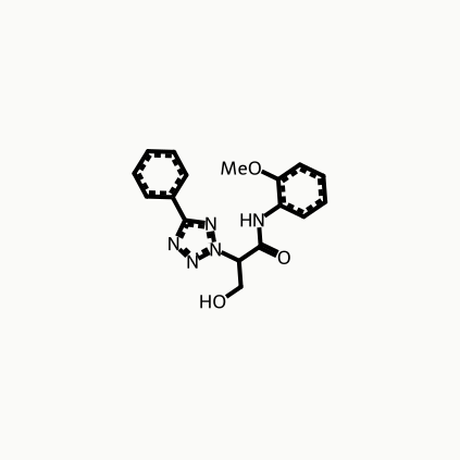 COc1ccccc1NC(=O)C(CO)n1nnc(-c2ccccc2)n1